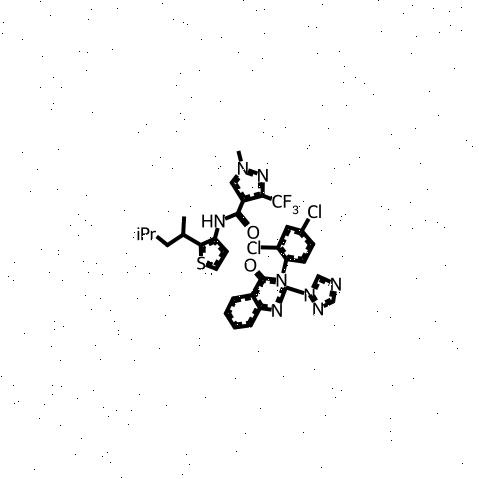 CC(C)CC(C)c1sccc1NC(=O)c1cn(C)nc1C(F)(F)F.O=c1c2ccccc2nc(-n2cncn2)n1-c1ccc(Cl)cc1Cl